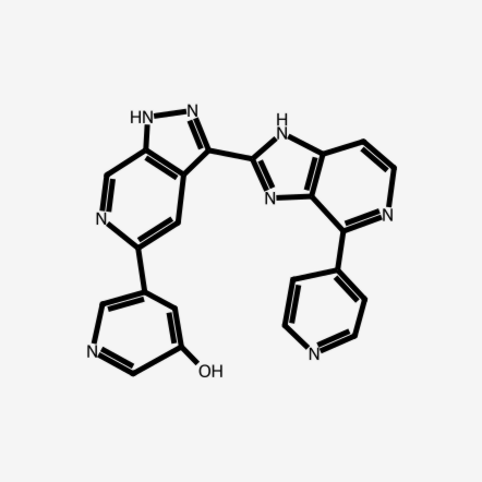 Oc1cncc(-c2cc3c(-c4nc5c(-c6ccncc6)nccc5[nH]4)n[nH]c3cn2)c1